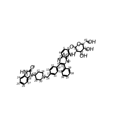 CC(=O)N[C@@H]1[C@@H](Oc2ccc3nc(-c4ccc(CN5CCC(n6c(=O)[nH]c7ccccc76)CC5)cc4)c(-c4ccccc4)nc3c2)O[C@H](CO)[C@@H](O)[C@@H]1O